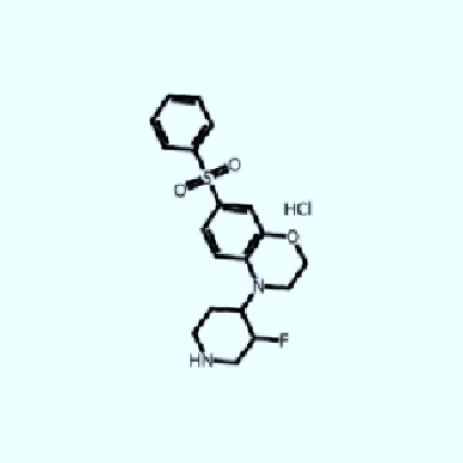 Cl.O=S(=O)(c1ccccc1)c1ccc2c(c1)OCCN2C1CCNCC1F